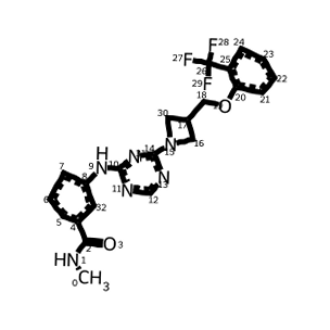 CNC(=O)c1cccc(Nc2ncnc(N3CC(COc4ccccc4C(F)(F)F)C3)n2)c1